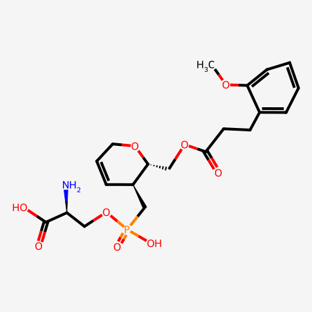 COc1ccccc1CCC(=O)OC[C@H]1OCC=C[C@@H]1CP(=O)(O)OC[C@H](N)C(=O)O